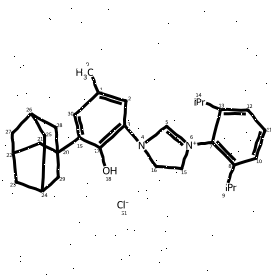 Cc1cc(N2C=[N+](c3c(C(C)C)cccc3C(C)C)CC2)c(O)c(C23CC4CC(CC(C4)C2)C3)c1.[Cl-]